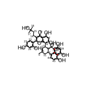 CC1=CC(c2c(O)cc(O)c3c(=O)c(CCC(C)(C)O)c(-c4ccc(O)cc4O)oc23)C(C(=O)c2ccc(O)cc2O)C(c2ccc(O)cc2O)C1